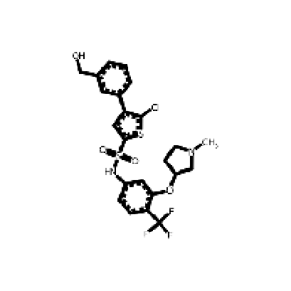 CN1CCC(Oc2cc(NS(=O)(=O)c3cc(-c4cccc(CO)c4)c(Cl)s3)ccc2C(F)(F)F)C1